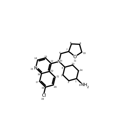 NC1CCC(N(CC2CCCO2)c2ccnc3cc(Cl)ccc23)CC1